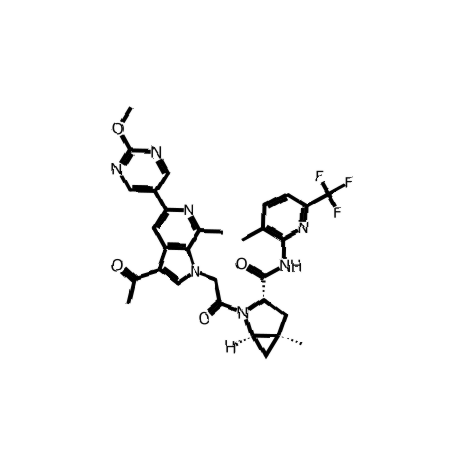 COc1ncc(-c2cc3c(C(C)=O)cn(CC(=O)N4[C@H](C(=O)Nc5nc(C(F)(F)F)ccc5C)C[C@@]5(C)C[C@@H]45)c3c(C)n2)cn1